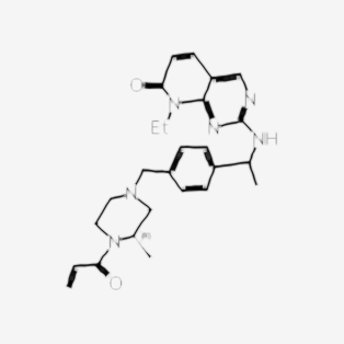 C=CC(=O)N1CCN(Cc2ccc(C(C)Nc3ncc4ccc(=O)n(CC)c4n3)cc2)C[C@H]1C